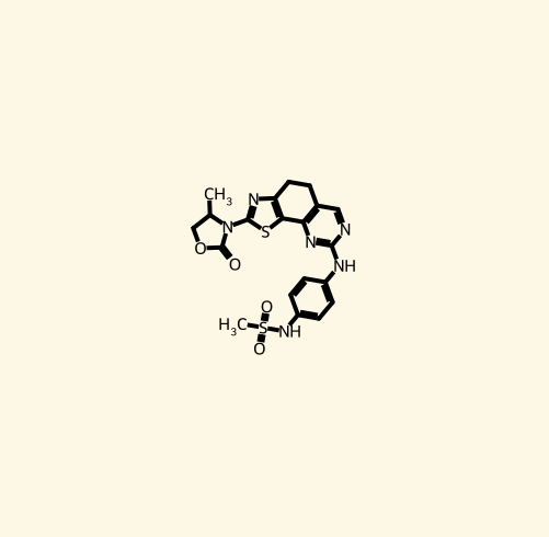 CC1COC(=O)N1c1nc2c(s1)-c1nc(Nc3ccc(NS(C)(=O)=O)cc3)ncc1CC2